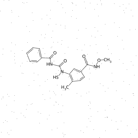 CONC(=O)c1ccc(C)c(N(S)C(=O)NC(=O)c2ccccc2)c1